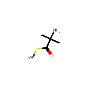 CCCSC(=O)C(C)(C)N